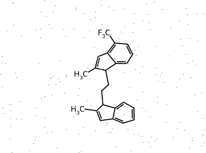 CC1=Cc2ccccc2C1CCC1C(C)=Cc2c1cccc2C(F)(F)F